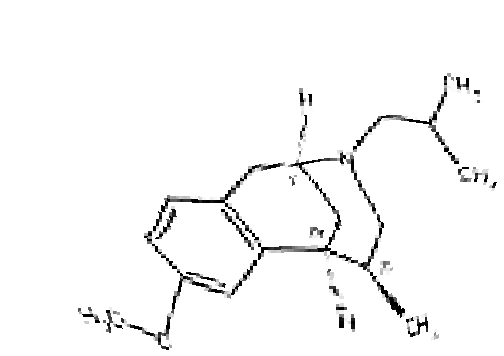 COc1ccc2c(c1)[C@H]1C[C@@H](C2)N(CC(C)C)C[C@H]1C